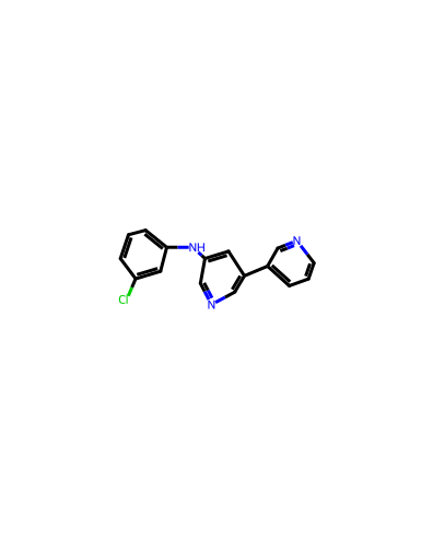 Clc1cccc(Nc2cncc(-c3cccnc3)c2)c1